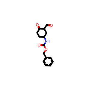 O=CC1CC(NC(=O)OCc2ccccc2)CCC1=O